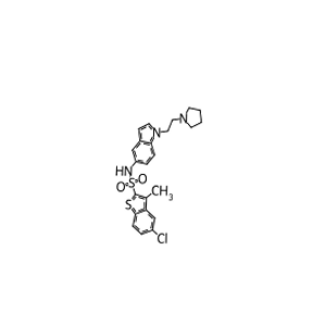 Cc1c(S(=O)(=O)Nc2ccc3c(ccn3CCN3CCCC3)c2)sc2ccc(Cl)cc12